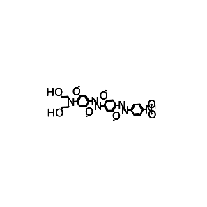 COc1cc(N=Nc2cc(OC)c(N(CCO)CCO)cc2OC)c(OC)cc1N=Nc1ccc([N+](=O)[O-])cc1